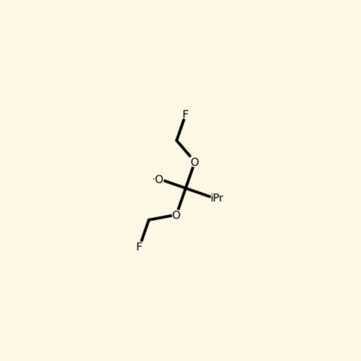 CC(C)C([O])(OCF)OCF